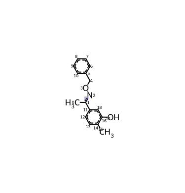 C/C(=N\OCc1ccccc1)c1ccc(C)c(O)c1